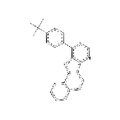 CC(C)(C)c1ccc(-c2ncnc3c2sc2c4ccccc4ccc32)cc1